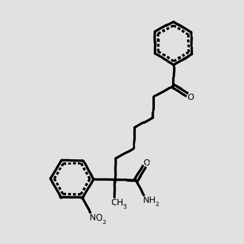 CC(CCCCCC(=O)c1ccccc1)(C(N)=O)c1ccccc1[N+](=O)[O-]